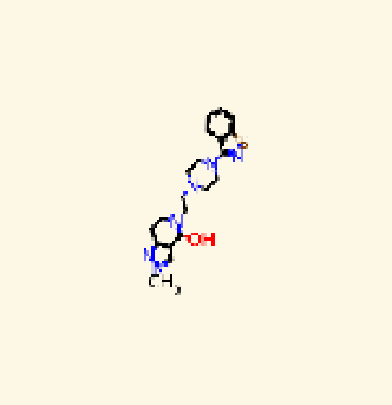 Cn1cc2c(n1)CCN(CCN1CCN(c3nsc4ccccc34)CC1)C2O